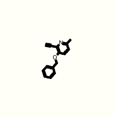 C#Cc1nc(C)ccc1OCc1ccccc1